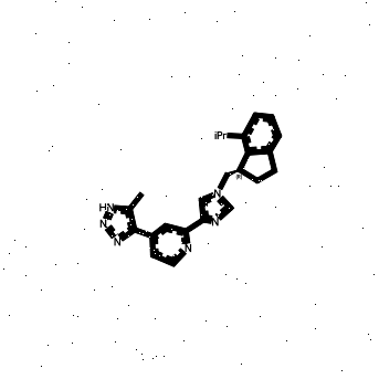 Cc1[nH]nnc1-c1ccnc(-c2cn(C[C@@H]3CCc4cccc(C(C)C)c43)cn2)c1